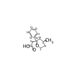 C[C@H]1CCO[C@](CC(=O)O)(c2ccccc2)C1